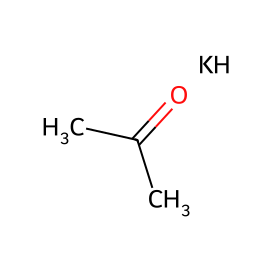 CC(C)=O.[KH]